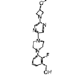 COC1CN(c2cnc(N3CCN(c4cccc(CO)c4F)CC3)cn2)C1